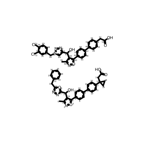 Cc1noc(-c2ccc(-c3ccc(C4(CC(=O)O)CC4)cc3)cc2)c1C(O)c1nnc(Cc2ccccc2)o1.Cc1noc(-c2ccc(-c3ccc(CC(=O)O)cc3)cc2)c1C(O)c1cn(Cc2ccc(Cl)c(Cl)c2)nn1